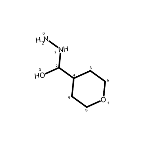 NNC(O)C1CCOCC1